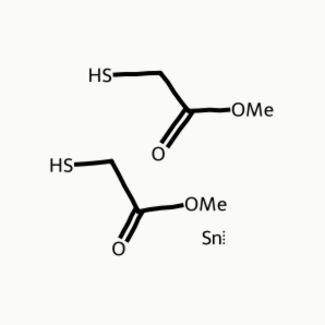 COC(=O)CS.COC(=O)CS.[Sn]